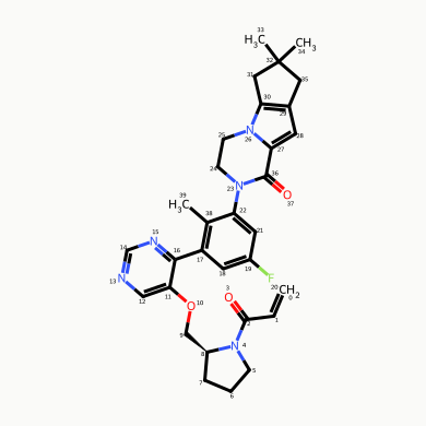 C=CC(=O)N1CCC[C@H]1COc1cncnc1-c1cc(F)cc(N2CCn3c(cc4c3CC(C)(C)C4)C2=O)c1C